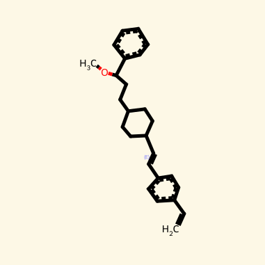 C=Cc1ccc(/C=C/C2CCC(CCC(OC)c3ccccc3)CC2)cc1